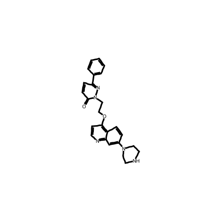 O=c1ccc(-c2ccccc2)nn1CCOc1ccnc2cc(N3CCNCC3)ccc12